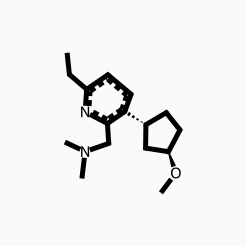 CCc1ccc([C@@H]2CC[C@@H](OC)C2)c(CN(C)C)n1